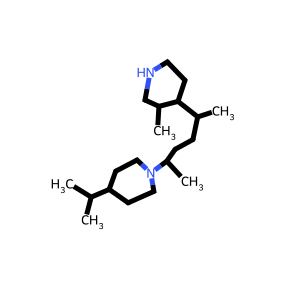 CC(C)C1CCN(C(C)CCC(C)C2CCNCC2C)CC1